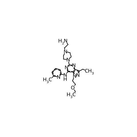 CCOCCn1nc(CC)c2nc(N3CCN(CCN)CC3)nc(Nc3cccc(C)n3)c21